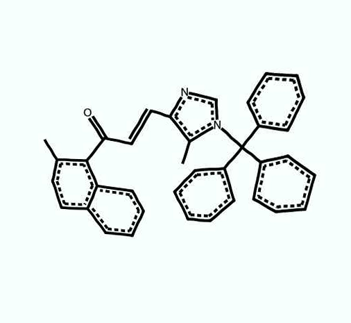 Cc1ccc2ccccc2c1C(=O)C=Cc1ncn(C(c2ccccc2)(c2ccccc2)c2ccccc2)c1C